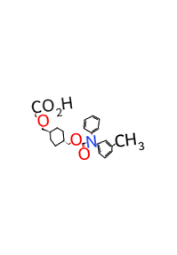 Cc1cccc(N(C(=O)OC[C@H]2CC[C@H](COCC(=O)O)CC2)c2ccccc2)c1